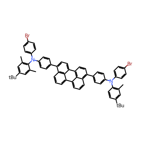 Cc1cc(C(C)(C)C)ccc1N(c1ccc(Br)cc1)c1ccc(-c2ccc3c4ccc(-c5ccc(N(c6ccc(Br)cc6)c6c(C)cc(C(C)(C)C)cc6C)cc5)c5cccc(c6cccc2c63)c54)cc1